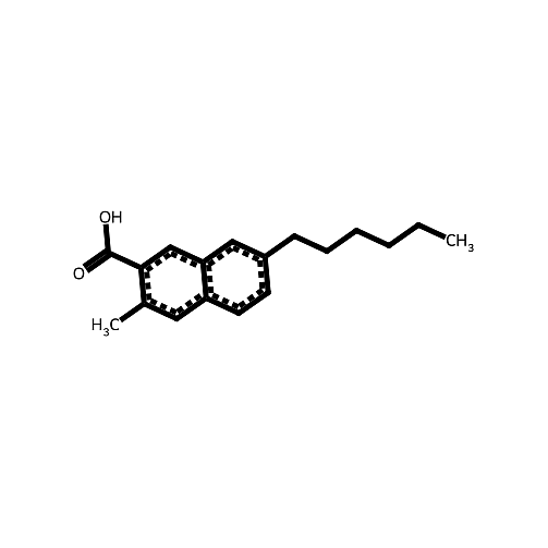 CCCCCCc1ccc2cc(C)c(C(=O)O)cc2c1